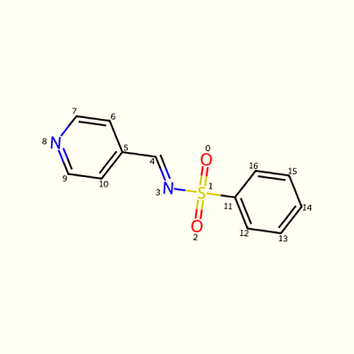 O=S(=O)(N=Cc1ccncc1)c1ccccc1